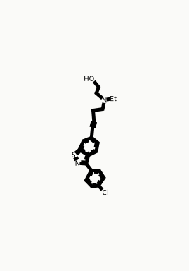 CCN(CCO)CCC#Cc1ccc2c(-c3ccc(Cl)cc3)nsc2c1